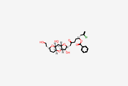 C=C(Br)C[C@@H](CCC(=O)C[C@H]1O[C@H]2[C@@H](O)[C@H]3O[C@@H](CCO)CC[C@@H]3O[C@H]2[C@H]1O)OC(=O)c1ccccc1